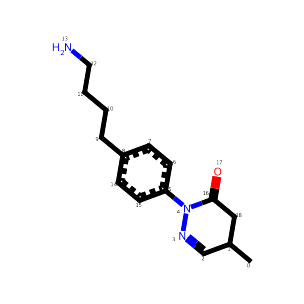 CC1C=NN(c2ccc(CCCCN)cc2)C(=O)C1